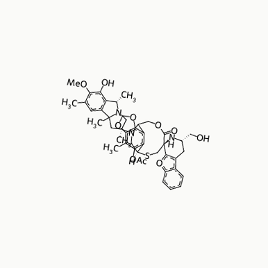 COc1c(C)cc2c(c1O)[C@H](C)N1C[C@@](C)(N3C[C@@H]4SC[C@]5(N[C@H](CO)Cc6c5oc5ccccc65)C(=O)OCC3c3c5c(c(C)c(OC(C)=O)c34)OCO5)CC21C